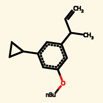 C=C[C](C)c1cc(OCCCC)cc(C2CC2)c1